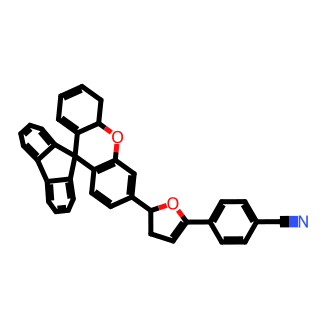 N#Cc1ccc(C2=CCC(c3ccc4c(c3)OC3CC=CC=C3C43c4ccccc4-c4ccccc43)O2)cc1